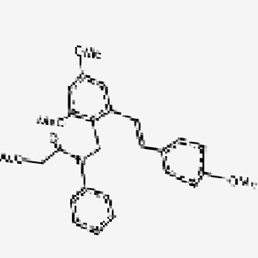 COc1ccc(C=Cc2cc(OC)cc(OC)c2CN(C(=O)COC(C)=O)c2ccccc2)cc1